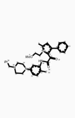 COCCn1c(C)cc(-c2ccccc2)c1C(=O)C(=O)Nc1cc(N2CCN(CC(C)C)CC2)ccc1F